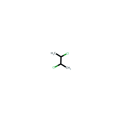 C[C](Cl)C(C)Cl